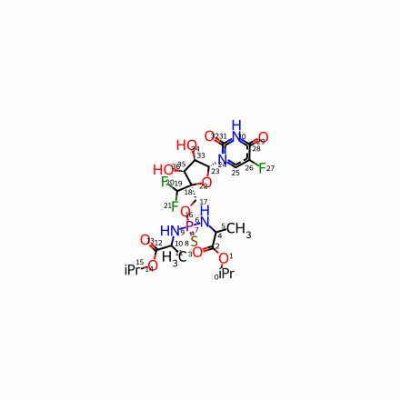 CC(C)OC(=O)C(C)NP(=S)(NC(C)C(=O)OC(C)C)OC[C@@]1(C(F)F)O[C@@H](n2cc(F)c(=O)[nH]c2=O)[C@H](O)[C@@H]1O